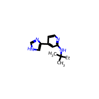 CCC(C)(C)Nc1cc(-c2c[nH]cn2)ccn1